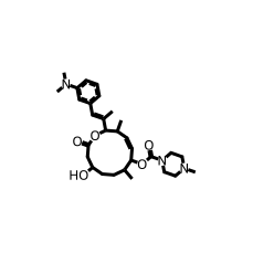 C/C(=C\c1cccc(N(C)C)c1)C1OC(=O)CC(O)CCC(C)C(OC(=O)N2CCN(C)CC2)C=CC1C